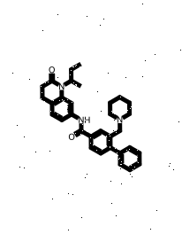 CCC(C)N1C(=O)CCc2ccc(NC(=O)c3ccc(-c4ccccc4)c(CN4CCCCC4)c3)cc21